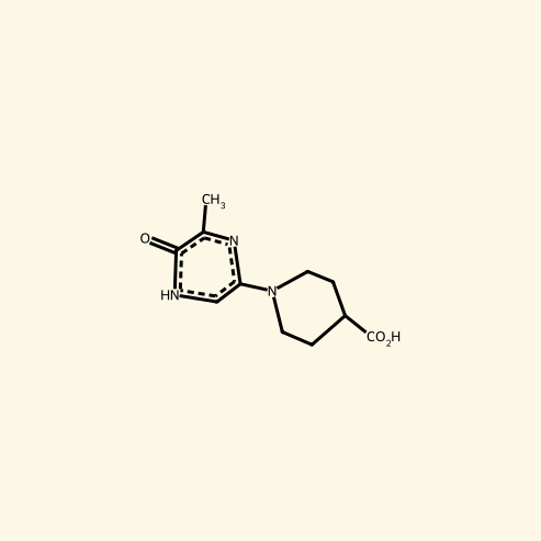 Cc1nc(N2CCC(C(=O)O)CC2)c[nH]c1=O